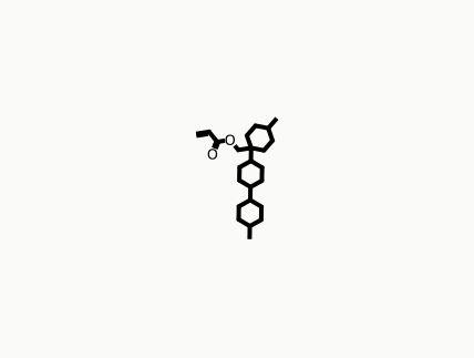 C=CC(=O)OCC1(C2CCC(C3CCC(C)CC3)CC2)CCC(C)CC1